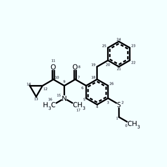 CCSc1ccc(C(=O)C(C(=O)C2CC2)N(C)C)c(Cc2ccccc2)c1